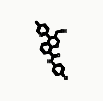 Cc1ccc(N2c3cccc(C(=O)Nc4ccc(Cl)cc4)c3OCC2CO)nc1